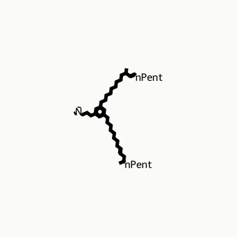 CCCCC/C=C/C(C)CCCCCCCCCc1cc(CCCCCCCC/C=C/CC(C)CCCCC)cc(CCCN(C)C)c1